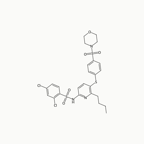 CCCCc1nc(NS(=O)(=O)c2ccc(Cl)cc2Cl)ccc1Sc1ccc(S(=O)(=O)N2CCOCC2)cc1